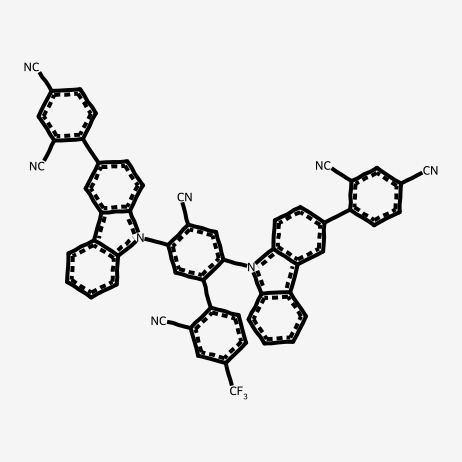 N#Cc1ccc(-c2ccc3c(c2)c2ccccc2n3-c2cc(-c3ccc(C(F)(F)F)cc3C#N)c(-n3c4ccccc4c4cc(-c5ccc(C#N)cc5C#N)ccc43)cc2C#N)c(C#N)c1